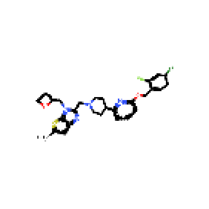 O=C(O)c1cc2nc(CN3CCC(c4cccc(OCC5=CCC(Cl)C=C5F)n4)CC3)n(CC3CCO3)c2s1